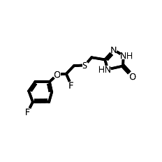 O=c1[nH]nc(CSCC(F)Oc2ccc(F)cc2)[nH]1